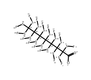 O=C(Cl)C(SF)(SF)C(SF)(SF)C(SF)(SF)C(SF)(SF)C(SF)(SF)C(SF)(SF)C(SF)(SF)SF